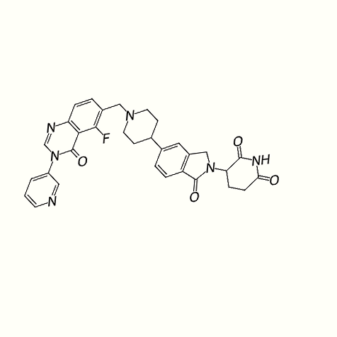 O=C1CCC(N2Cc3cc(C4CCN(Cc5ccc6ncn(-c7cccnc7)c(=O)c6c5F)CC4)ccc3C2=O)C(=O)N1